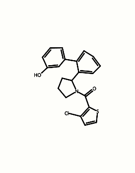 O=C(c1sccc1Cl)N1CCCC1c1ccccc1-c1cccc(O)c1